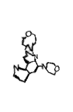 c1cnc2c(c1)cc(N1CCOCC1)c1nn(N3CCOCC3)cc12